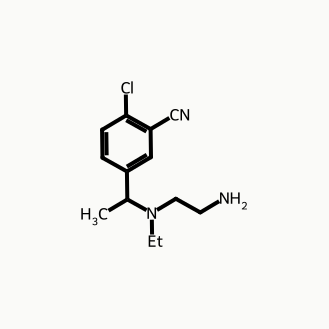 CCN(CCN)C(C)c1ccc(Cl)c(C#N)c1